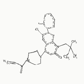 C=CC(=O)N1CCN(c2cc(=O)n(CC(C)(C)C)c3nc(-c4ccccc4F)c(Cl)cc23)CC1